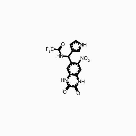 O=C(NC(c1cc[nH]c1)c1cc2[nH]c(=O)c(=O)[nH]c2cc1[N+](=O)[O-])C(F)(F)F